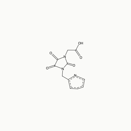 O=C(O)CN1C(=O)C(=O)N(Cc2ccccn2)C1=O